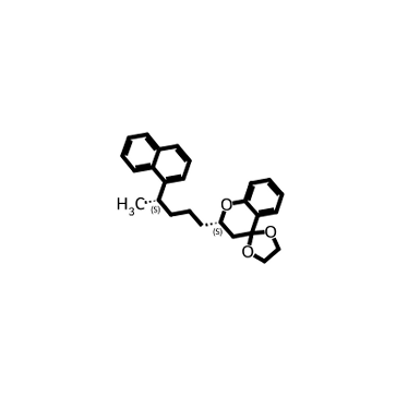 C[C@@H](CCC[C@H]1CC2(OCCO2)c2ccccc2O1)c1cccc2ccccc12